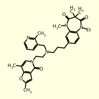 CCN1C(=O)C(C)(C)C(=O)N(C)c2cc(CCCN(CCn3cc(C)c4oc(C)cc4c3=O)Cc3cccnc3C)ccc21